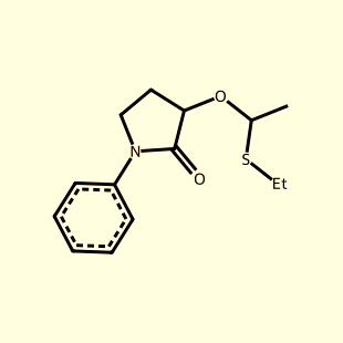 CCSC(C)OC1CCN(c2ccccc2)C1=O